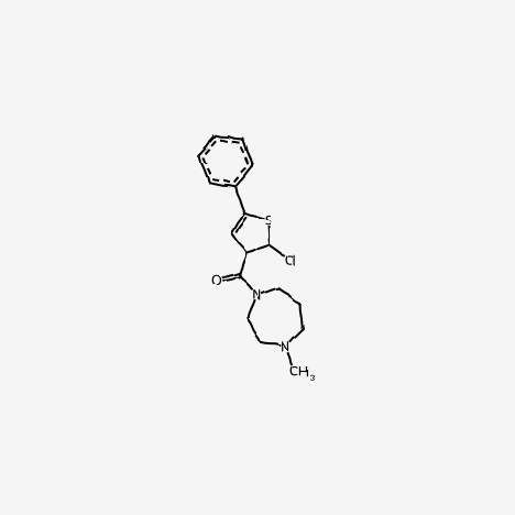 CN1CCCN(C(=O)C2C=C(c3ccccc3)SC2Cl)CC1